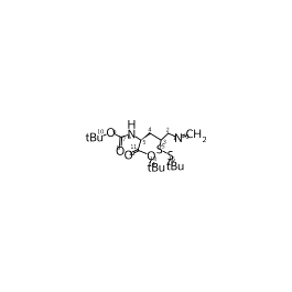 C=NCC(C[C@H](NC(=O)OC(C)(C)C)C(=O)OC(C)(C)C)SSC(C)(C)C